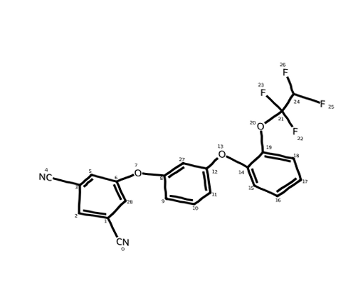 N#Cc1cc(C#N)cc(Oc2cccc(Oc3ccccc3OC(F)(F)C(F)F)c2)c1